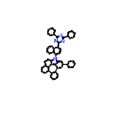 c1ccc(-c2cc3c4c5c6c(cccc6ccc5n(-c5ccc(-c6nc(-c7ccccc7)nc(-c7ccccc7)n6)c6ccccc56)c4c2)-c2ccccc2-3)cc1